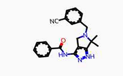 CC1(C)c2[nH]nc(NC(=O)c3ccccc3)c2CN1Cc1cccc(C#N)c1